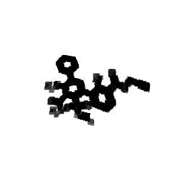 C#CCOC(=O)c1cccc(-c2cc(-c3ccccc3)c(N)c(C(N)=O)c2S(N)(=O)=O)c1Br